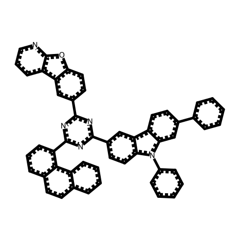 c1ccc(-c2ccc3c4cc(-c5nc(-c6ccc7oc8ncccc8c7c6)nc(-c6cccc7ccc8ccccc8c67)n5)ccc4n(-c4ccccc4)c3c2)cc1